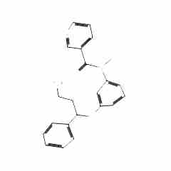 CNCCC(Oc1cccc(N(C)C(=O)c2cccnc2)c1)c1ccccc1